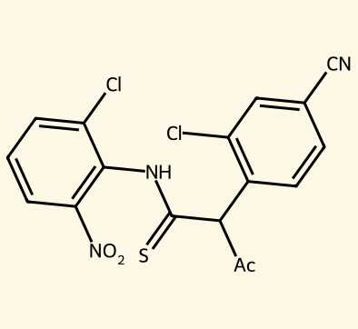 CC(=O)C(C(=S)Nc1c(Cl)cccc1[N+](=O)[O-])c1ccc(C#N)cc1Cl